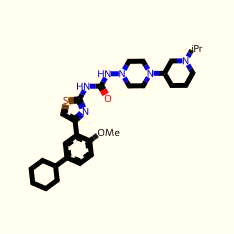 COc1ccc(C2CCCCC2)cc1-c1csc(NC(=O)NN2CCN(C3CCCN(C(C)C)C3)CC2)n1